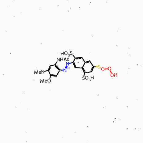 CNc1cc(NC(C)=O)c(/N=N/c2cc3c(S(=O)(=O)O)cc(SOOO)cc3cc2S(=O)(=O)O)cc1OC